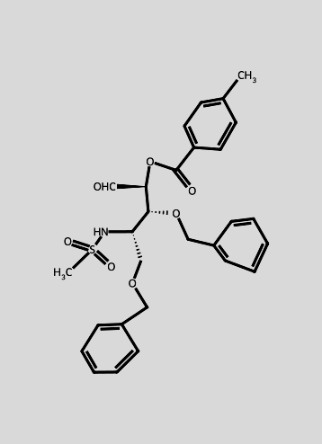 Cc1ccc(C(=O)O[C@H](C=O)[C@H](OCc2ccccc2)[C@H](COCc2ccccc2)NS(C)(=O)=O)cc1